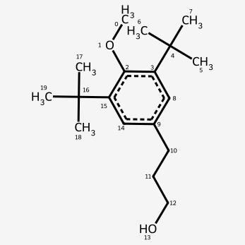 COc1c(C(C)(C)C)cc(CCCO)cc1C(C)(C)C